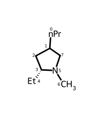 CCCC1C[C@@H](CC)N(C)C1